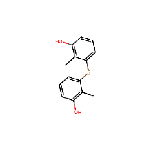 Cc1c(O)cccc1Sc1cccc(O)c1C